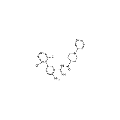 N=C(NC(=O)C1CCN(c2ccccc2)CC1)c1cc(-c2c(Cl)cccc2Cl)ccc1N